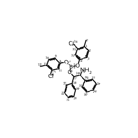 Cc1ccc(OB(Oc2ccc(C)c(Cl)c2)OC(c2ccccc2)C(N)c2ccccc2)cc1Cl